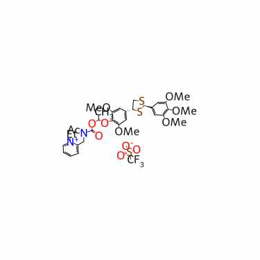 CC[n+]1ccccc1CN(C(C)=O)C(=O)OC(C)Oc1c(OC)cc([C@@H]2CS[C@@H](c3cc(OC)c(OC)c(OC)c3)S2)cc1OC.O=S(=O)([O-])C(F)(F)F